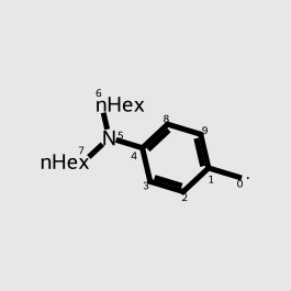 [CH2]c1ccc(N(CCCCCC)CCCCCC)cc1